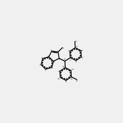 CC1=Cc2ccccc2C1C(c1cccc(C)c1)c1cccc(C)c1